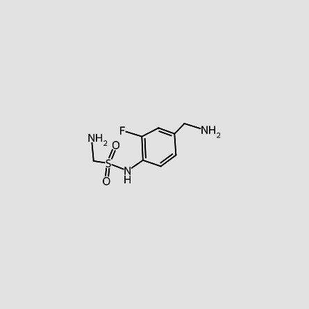 NCc1ccc(NS(=O)(=O)CN)c(F)c1